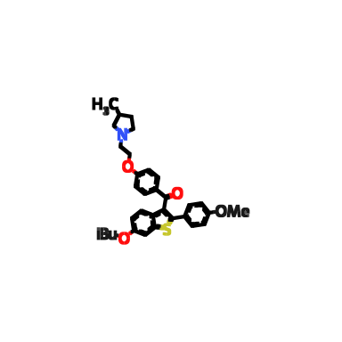 CCC(C)Oc1ccc2c(C(=O)c3ccc(OCCN4CCC(C)C4)cc3)c(-c3ccc(OC)cc3)sc2c1